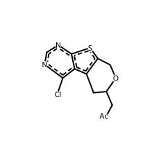 CC(=O)CC1Cc2c(sc3ncnc(Cl)c23)CO1